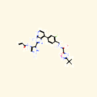 C=CC(=O)Nc1c[nH]nc1-c1nc2c(-c3ccc(CNC(=O)c4nc(C(C)(C)C)no4)c(F)c3)ccnc2[nH]1